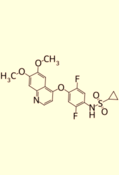 COc1cc2nccc(Oc3cc(F)c(NS(=O)(=O)C4CC4)cc3F)c2cc1OC